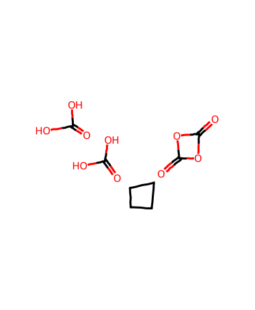 C1CCC1.O=C(O)O.O=C(O)O.O=C1OC(=O)O1